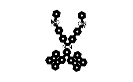 c1ccc(-c2nnc(-c3ccc(-c4ccc(-c5nc6cc(-c7ccc8c(c7)C7(c9ccccc9-c9ccccc97)c7ccccc7-8)c(-c7ccc8c(c7)C7(c9ccccc9-c9ccccc97)c7ccccc7-8)cc6nc5-c5ccc(-c6ccc(-c7nnc(-c8ccccc8)o7)cc6)cc5)cc4)cc3)o2)cc1